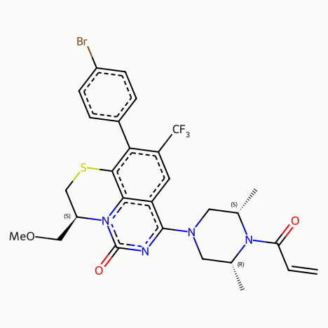 C=CC(=O)N1[C@H](C)CN(c2nc(=O)n3c4c(c(-c5ccc(Br)cc5)c(C(F)(F)F)cc24)SC[C@@H]3COC)C[C@@H]1C